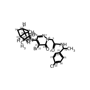 CC(NC(=O)Cn1ncc(N[C@@H]2C[C@@H]3C[C@H]([C@H]2C)C3(C)C)c(Br)c1=O)c1ccc(Cl)cc1